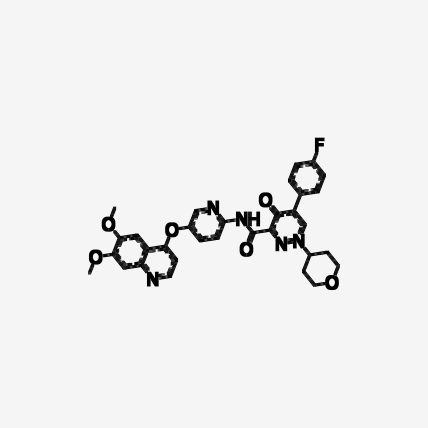 COc1cc2nccc(Oc3ccc(NC(=O)c4nn(C5CCOCC5)cc(-c5ccc(F)cc5)c4=O)nc3)c2cc1OC